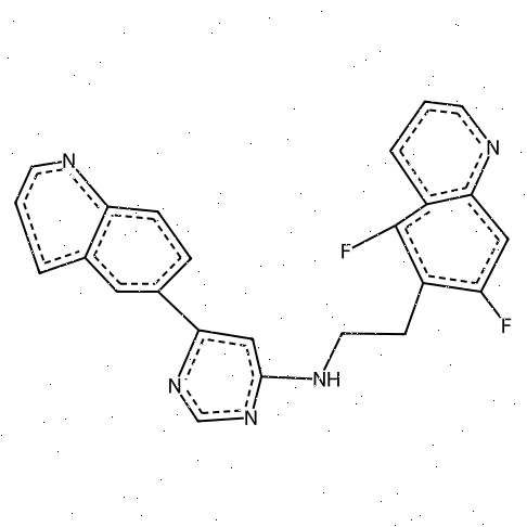 Fc1cc2ncccc2c(F)c1CCNc1cc(-c2ccc3ncccc3c2)ncn1